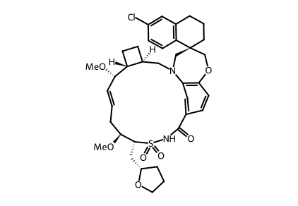 CO[C@H]1/C=C/C[C@H](OC)[C@@H](C[C@@H]2CCCO2)S(=O)(=O)NC(=O)c2ccc3c(c2)N(C[C@@H]2CC[C@H]21)C[C@@]1(CCCc2cc(Cl)ccc21)CO3